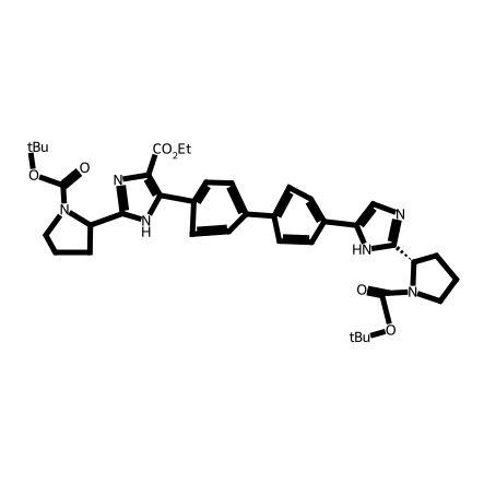 CCOC(=O)c1nc(C2CCCN2C(=O)OC(C)(C)C)[nH]c1-c1ccc(-c2ccc(-c3cnc([C@@H]4CCCN4C(=O)OC(C)(C)C)[nH]3)cc2)cc1